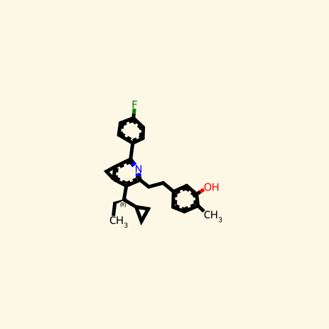 CC[C@@H](c1c(CCc2ccc(C)c(O)c2)nc(-c2ccc(F)cc2)c2c1C2)C1CC1